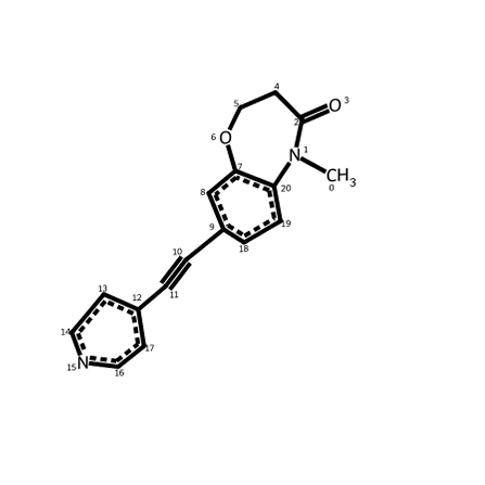 CN1C(=O)CCOc2cc(C#Cc3ccncc3)ccc21